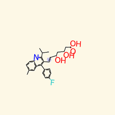 Cc1ccc2nc(C(C)C)c(/C=C/C(O)CC(O)CC(=O)O)c(-c3ccc(F)cc3)c2c1